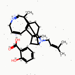 CC(C)=CCN1C2=C3CC1C(C)C1(C)/C=N\C/C=C\C3=C1CC2.O=C(O)c1ccccc1O